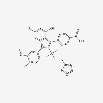 COc1cc(-n2c(C(C)(C)CCc3ncon3)c(-c3ccc(C(=O)O)cc3)c3c(O)cc(F)cc32)ccc1F